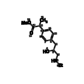 CCNCC(O)Cc1ccc(C(C)C(=O)OC)cc1